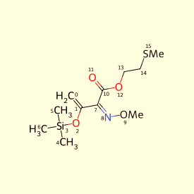 C=C(O[Si](C)(C)C)C(=NOC)C(=O)OCCSC